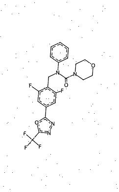 O=C(N1CCOCC1)N(Cc1c(F)cc(-c2nnc(C(F)(F)F)o2)cc1F)c1ccccc1